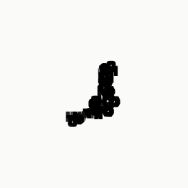 COc1cc(-c2cccc(-c3cccc(-c4ccn5c(=O)c(CNC[C@H]6CCC(=O)N6)cnc5c4)c3C)c2Cl)ncc1CNC[C@@H]1CCC(=O)N1